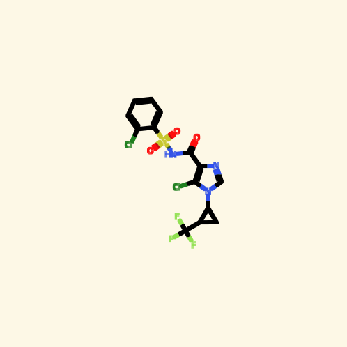 O=C(NS(=O)(=O)c1ccccc1Cl)c1ncn(C2CC2C(F)(F)F)c1Cl